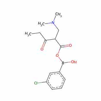 CCC(=O)C(CN(C)C)C(=O)OB(O)c1cccc(Cl)c1